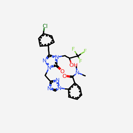 CN(C)C(=O)c1ccccc1-n1cnc(Cn2nc(-c3ccc(Cl)cc3)n(CC(O)C(F)(F)F)c2=O)n1